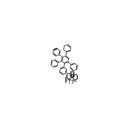 CC1(C)OB(c2cccc(-c3cc(C4=CC=CCC4)c(-c4cc#ccc4)c(-c4ccccc4)c3-c3ccccc3)c2)OC1(C)I